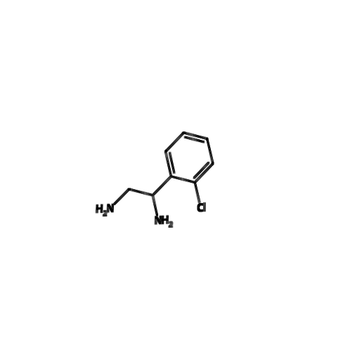 NCC(N)c1ccccc1Cl